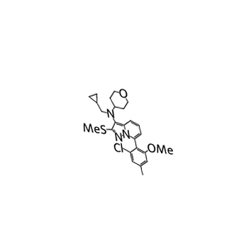 COc1cc(C)cc(Cl)c1-c1cccc2c(N(CC3CC3)C3CCOCC3)c(SC)nn12